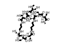 CNC(=O)[C@H](CS)NC(=O)[C@H](CS)NC(=O)[C@H](CS)NCCCCNC(=O)[C@H](CS)NC(=O)[C@H](CS)NC(=O)[C@H](CS)NCCCNC(=O)[C@H](CS)NC(=O)[C@H](CS)NC(=O)[C@H](CS)NC